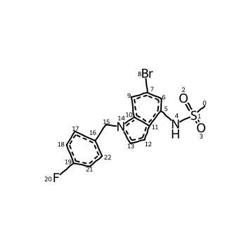 CS(=O)(=O)Nc1cc(Br)cc2c1ccn2Cc1ccc(F)cc1